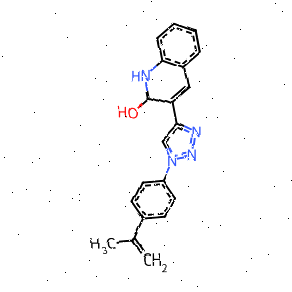 C=C(C)c1ccc(-n2cc(C3=Cc4ccccc4NC3O)nn2)cc1